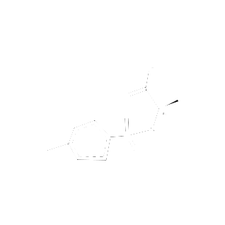 Cc1ccc(S(=O)(=O)N[C@H](C)C(=O)O)cc1